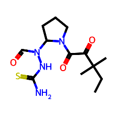 CCC(C)(C)C(=O)C(=O)N1CCCC1N(C=O)NC(N)=S